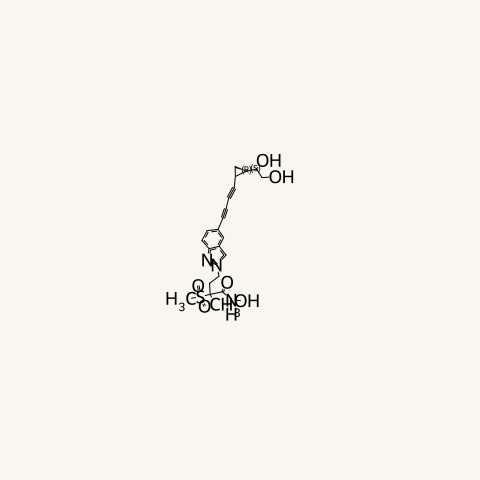 CC(CCn1cc2cc(C#CC#CC3C[C@H]3[C@H](O)CO)ccc2n1)(C(=O)NO)S(C)(=O)=O